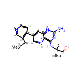 CCCC[C@](C)(CO)Nc1nc(N)nc2cc(-c3ccncc3CSC)cnc12